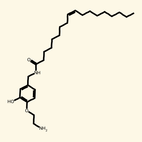 CCCCCCCC/C=C\CCCCCCCC(=O)NCc1ccc(OCCN)c(O)c1